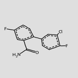 NC(=O)c1cc(F)ccc1-c1ccc(F)c(Cl)c1